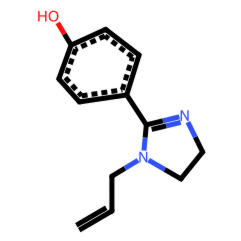 C=CCN1CCN=C1c1ccc(O)cc1